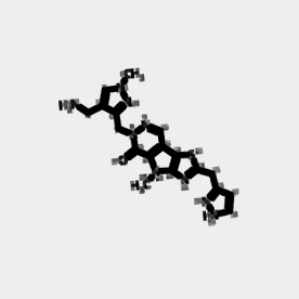 Cn1cc(CN)c(Cn2ncc3c4sc(Cc5cc[nH]n5)nc4n(C)c3c2=O)n1